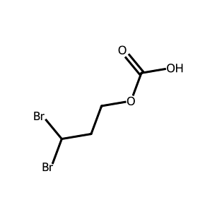 O=C(O)OCCC(Br)Br